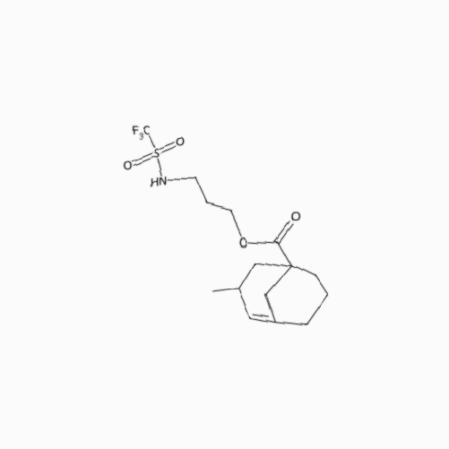 CC1C=C2CCCC(C(=O)OCCCNS(=O)(=O)C(F)(F)F)(C2)C1